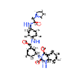 O=C(CN1CCCC1)Nc1ccc(NC(=O)c2cccc(-n3c(=O)[nH]c4ccccc4c3=O)c2)cc1